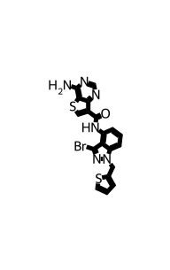 Nc1ncnc2c(C(=O)Nc3cccc4c3c(Br)nn4Cc3cccs3)csc12